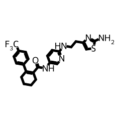 Nc1nc(CCNc2ccc(NC(=O)C3=C(c4ccc(C(F)(F)F)cc4)CCCC3)cn2)cs1